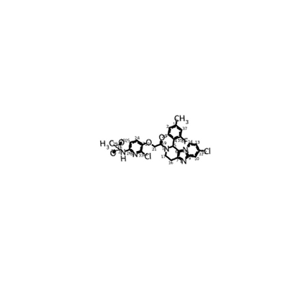 Cc1ccc(C2c3c(nc4cc(Cl)ccn34)CCN2C(=O)COc2ccc(NS(C)(=O)=O)nc2Cl)c(F)c1